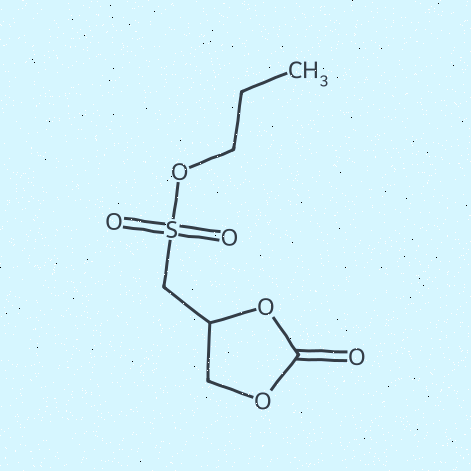 CCCOS(=O)(=O)CC1COC(=O)O1